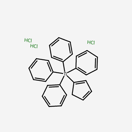 C1=CC[C]([Ti]([c]2ccccc2)([c]2ccccc2)([c]2ccccc2)[c]2ccccc2)=C1.Cl.Cl.Cl